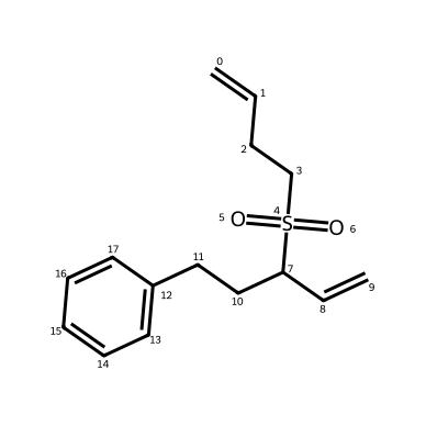 C=CCCS(=O)(=O)C(C=C)CCc1ccccc1